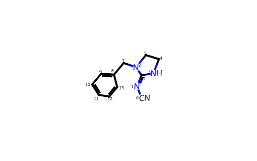 N#C/N=C1\NCCN1Cc1ccccc1